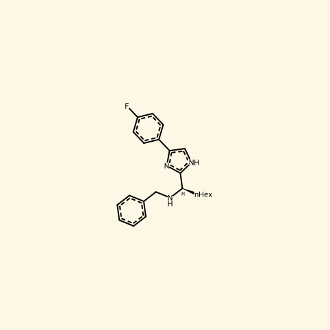 CCCCCC[C@@H](NCc1ccccc1)c1nc(-c2ccc(F)cc2)c[nH]1